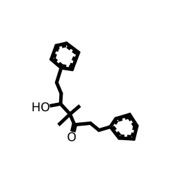 CC(C)(C(=O)CCc1ccccc1)C(O)CCc1ccccc1